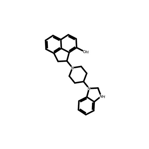 Oc1ccc2cccc3c2c1C(N1CCC(N2[CH]Nc4ccccc42)CC1)C3